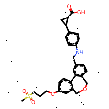 CS(=O)(=O)CCCOc1ccc2c(c1)COCc1ccc(CNc3ccc(C4CC4C(=O)O)cc3)cc1-2